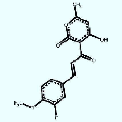 Cc1cc(O)c(C(=O)/C=C/c2ccc(OC(F)(F)F)c(Cl)c2)c(=O)o1